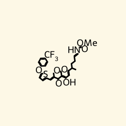 COC(=O)N/C=C/CCC(C)c1cc(O)c(C(=O)/C(C)=C/c2ccc(Oc3ccc(C(F)(F)F)cc3)s2)c(=O)o1